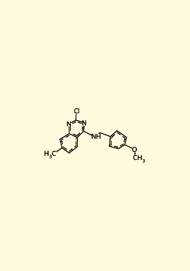 COc1ccc(CNc2nc(Cl)nc3cc(C)ccc23)cc1